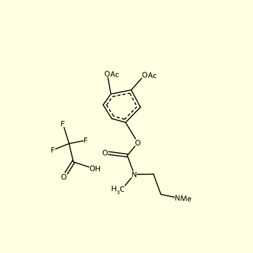 CNCCN(C)C(=O)Oc1ccc(OC(C)=O)c(OC(C)=O)c1.O=C(O)C(F)(F)F